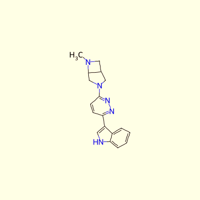 CN1CC2CN(c3ccc(-c4c[nH]c5ccccc45)nn3)CC21